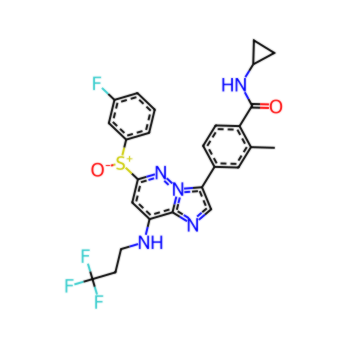 Cc1cc(-c2cnc3c(NCCC(F)(F)F)cc([S+]([O-])c4cccc(F)c4)nn23)ccc1C(=O)NC1CC1